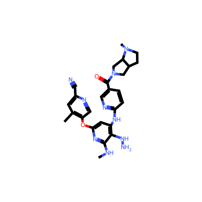 CNc1nc(Oc2cnc(C#N)cc2C)cc(Nc2ccc(C(=O)N3CC4CCN(C)C4C3)cn2)c1NN